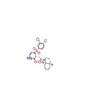 O=C1NC=CN(S(=O)(=O)c2ccc(Cl)c(Cl)c2)[C@@H]1CC(=O)N1CCC[C@H]2CCCC[C@H]21